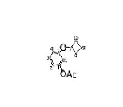 CC(=O)Oc1cccc(OC2CCC2)c1